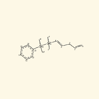 C=CCC=C[Si](C)(C)[Si](C)(C)c1ccccc1